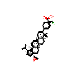 CC(C)[C@@H]1CC[C@]2(C3CO3)CC[C@]3(C)[C@H](CC[C@@H]4[C@@]5(C)CC=C(C6=CCC(CF)(C(=O)O)CC6)C(C)(C)[C@@H]5CC[C@]43C)[C@@H]12